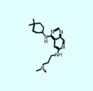 CN(C)CCCNc1cc2c(NC3CCC(C)(C)CC3)ncnc2cn1